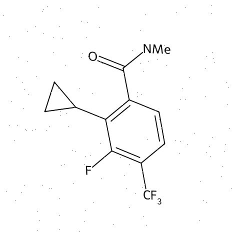 CNC(=O)c1ccc(C(F)(F)F)c(F)c1C1CC1